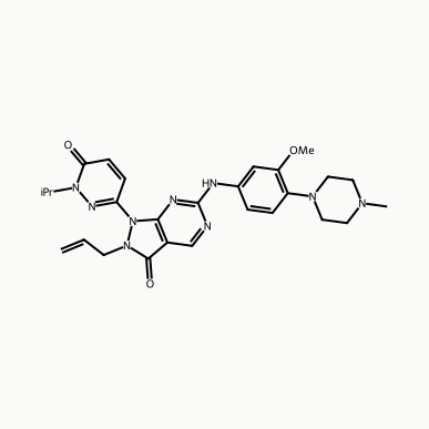 C=CCn1c(=O)c2cnc(Nc3ccc(N4CCN(C)CC4)c(OC)c3)nc2n1-c1ccc(=O)n(C(C)C)n1